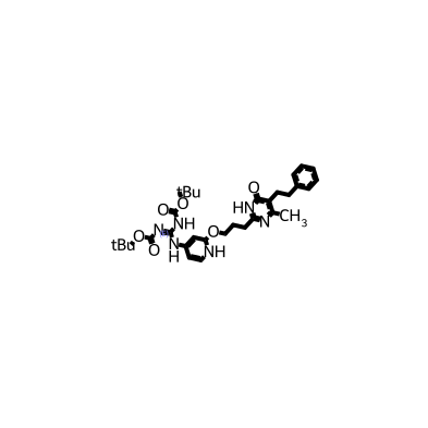 Cc1nc(CCCOC2C=C(N/C(=N\C(=O)OC(C)(C)C)NC(=O)OC(C)(C)C)C=CN2)[nH]c(=O)c1CCc1ccccc1